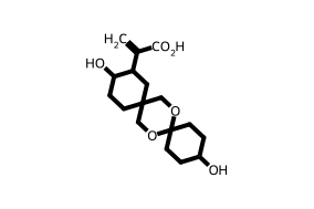 C=C(C(=O)O)C1CC2(CCC1O)COC1(CCC(O)CC1)OC2